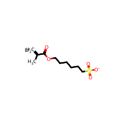 C=C(C)C(=O)OCCCCCCS(=O)(=O)[O-].[Li+]